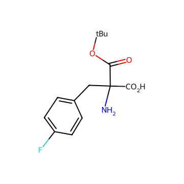 CC(C)(C)OC(=O)C(N)(Cc1ccc(F)cc1)C(=O)O